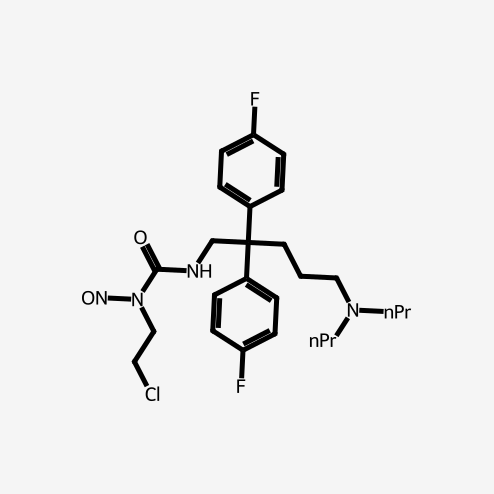 CCCN(CCC)CCCC(CNC(=O)N(CCCl)N=O)(c1ccc(F)cc1)c1ccc(F)cc1